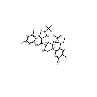 CCC(NC(C)=O)c1cc(C)c(Cl)cc1N1CCN(C(=O)[C@@H]2CN(C(C)(C)C)C[C@H]2c2ccc(F)cc2F)CC1